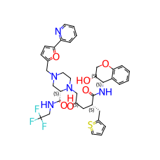 O=C(N[C@H]1c2ccccc2OC[C@H]1O)[C@H](Cc1cccs1)C[C@H](O)CN1CCN(Cc2ccc(-c3ccccn3)o2)C[C@H]1C(=O)NCC(F)(F)F